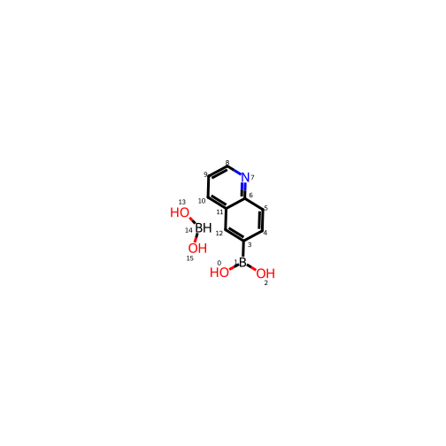 OB(O)c1ccc2ncccc2c1.OBO